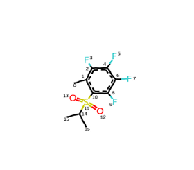 Cc1c(F)c(F)c(F)c(F)c1S(=O)(=O)C(C)C